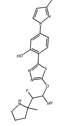 CCCC(Oc1nnc(-c2ccc(-n3ccc(C)n3)cc2O)s1)C(F)C1(C)CCCN1